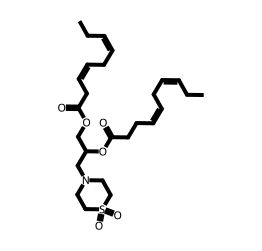 CC/C=C\C/C=C\CCC(=O)OC(COC(=O)C/C=C\C/C=C\CC)CN1CCS(=O)(=O)CC1